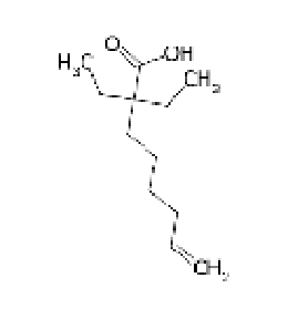 C=CCCCCC(CC)(CC)C(=O)O